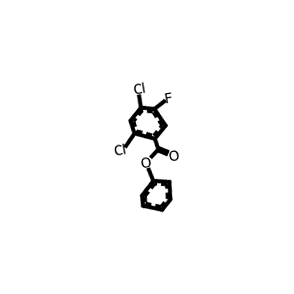 O=C(Oc1ccccc1)c1cc(F)c(Cl)cc1Cl